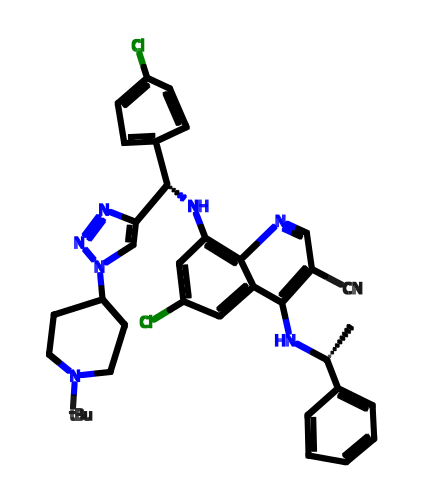 C[C@@H](Nc1c(C#N)cnc2c(N[C@@H](c3ccc(Cl)cc3)c3cn(C4CCN(C(C)(C)C)CC4)nn3)cc(Cl)cc12)c1ccccc1